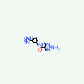 Cc1nc(N)ncc1C(=O)NCc1cccc(-c2nnn[nH]2)c1